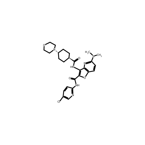 CN(C)c1ccc2oc(C(=O)Nc3ccc(Cl)cn3)c(NC(=O)[C@H]3CC[C@H](N4CCOCC4)CC3)c2n1